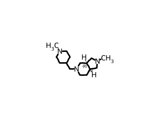 CN1CCC(CN2CC[C@@H]3CN(C)C[C@@H]3C2)CC1